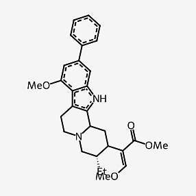 CC[C@@H]1CN2CCc3c([nH]c4cc(-c5ccccc5)cc(OC)c34)C2CC1/C(=C\OC)C(=O)OC